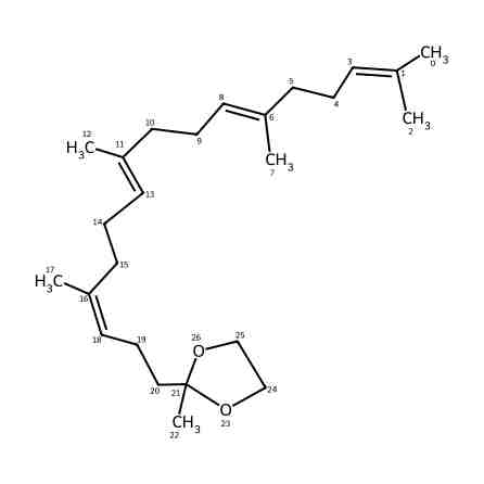 CC(C)=CCC/C(C)=C/CC/C(C)=C/CC/C(C)=C\CCC1(C)OCCO1